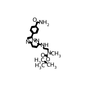 CN(CCNc1ccc2ncc(-c3ccc(C(N)=O)cc3)n2n1)C(=O)OC(C)(C)C